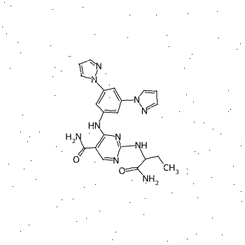 CCC(Nc1ncc(C(N)=O)c(Nc2cc(-n3cccn3)cc(-n3cccn3)c2)n1)C(N)=O